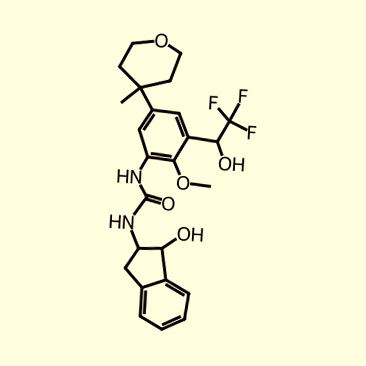 COc1c(NC(=O)NC2Cc3ccccc3C2O)cc(C2(C)CCOCC2)cc1C(O)C(F)(F)F